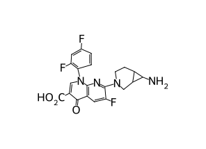 NC1C2CCN(c3nc4c(cc3F)c(=O)c(C(=O)O)cn4-c3ccc(F)cc3F)CC12